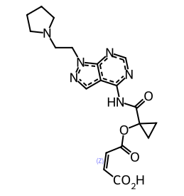 O=C(O)/C=C\C(=O)OC1(C(=O)Nc2ncnc3c2cnn3CCN2CCCC2)CC1